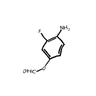 Nc1ccc(OC=O)cc1F